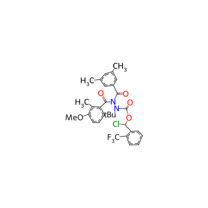 COc1cccc(C(=O)N(C(=O)c2cc(C)cc(C)c2)N(C(=O)OC(Cl)c2ccccc2C(F)(F)F)C(C)(C)C)c1C